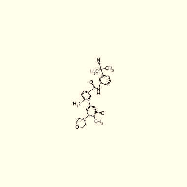 Cc1ccc(C(=O)Nc2cccc(C(C)(C)C#N)c2)cc1-c1cc(N2CCOCC2)n(C)c(=O)c1